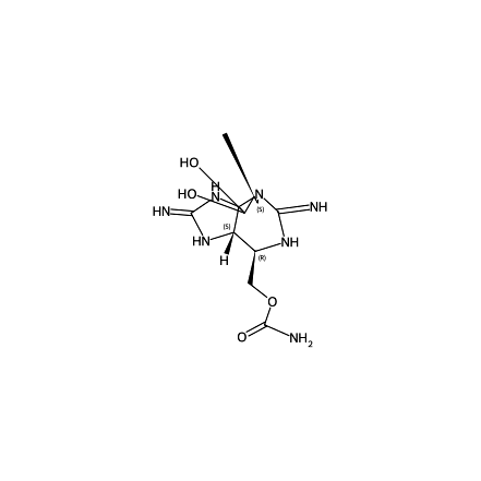 C[C@H]1CN2C(=N)N[C@@H](COC(N)=O)[C@@H]3NC(=N)NC32C1(O)O